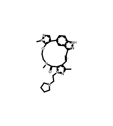 Cc1nn(CCN2CCCC2)c2c1/C=C/c1n[nH]c3ccc(cc13)-c1cnn(C)c1OCCN(C)C2=O